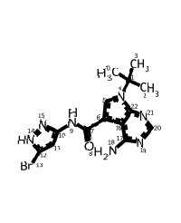 CC(C)(C)n1cc(C(=O)Nc2cc(Br)[nH]n2)c2c(N)ncnc21